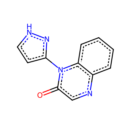 O=c1cnc2ccccc2n1-c1cc[nH]n1